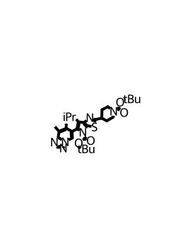 Cc1c(-c2c(C(C)C)c3nc(C4CCN(C(=O)OC(C)(C)C)CC4)sc3n2C(=O)OC(C)(C)C)cn2ncnc2c1C